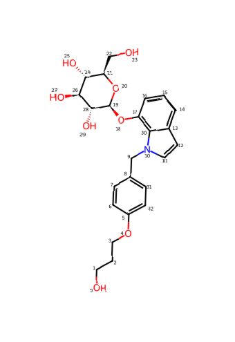 OCCCOc1ccc(Cn2ccc3cccc(O[C@@H]4O[C@H](CO)[C@@H](O)[C@H](O)[C@H]4O)c32)cc1